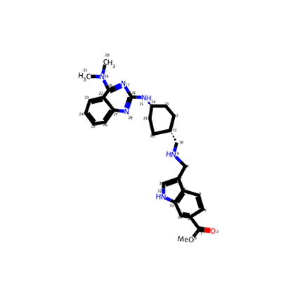 COC(=O)c1ccc2c(CNC[C@H]3CC[C@@H](Nc4nc(N(C)C)c5ccccc5n4)CC3)c[nH]c2c1